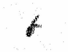 CCSSCCO[C@H]1C[C@H](n2ccc(=O)n(C(=O)c3ccccc3)c2=O)O[C@@H]1CO